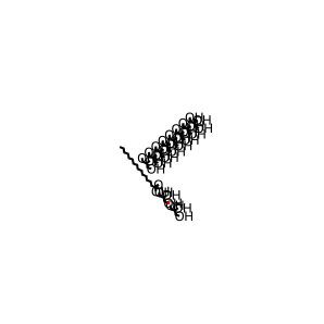 CCCCCCCCCCCCCCCC(=O)O.OCC(O)CO.OCC(O)CO.OCC(O)CO.OCC(O)CO.OCC(O)CO.OCC(O)CO.OCC(O)CO.OCC(O)CO.OCC(O)CO.OCC(O)CO